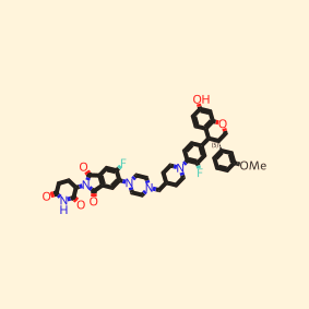 COc1cccc([C@H]2COc3cc(O)ccc3C2c2ccc(N3CCC(CN4CCN(c5cc6c(cc5F)C(=O)N(C5CCC(=O)NC5=O)C6=O)CC4)CC3)c(F)c2)c1